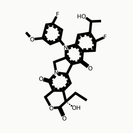 CC[C@@]1(O)C(=O)OCc2c1cc1n(c2=O)Cc2c-1c(=O)c1cc(F)c(C(C)O)cc1n2-c1cc(F)cc(OC)c1